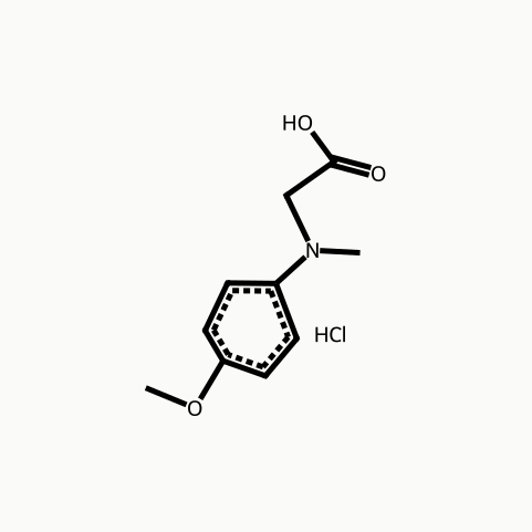 COc1ccc(N(C)CC(=O)O)cc1.Cl